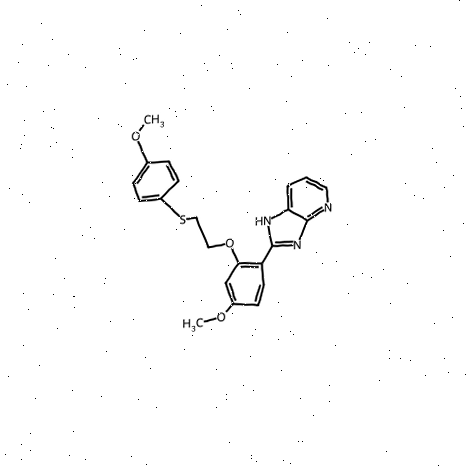 COc1ccc(SCCOc2cc(OC)ccc2-c2nc3ncccc3[nH]2)cc1